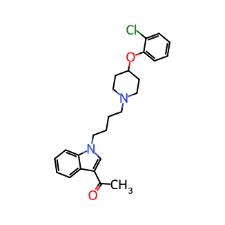 CC(=O)c1cn(CCCCN2CCC(Oc3ccccc3Cl)CC2)c2ccccc12